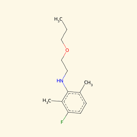 CCCOCCNc1c(C)ccc(F)c1C